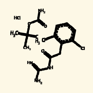 CC(C)(C)OC(N)=O.Cl.N=C(N)NC(=O)Cc1c(Cl)cccc1Cl